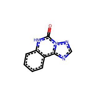 O=c1[nH]c2ccccc2c2ncnn12